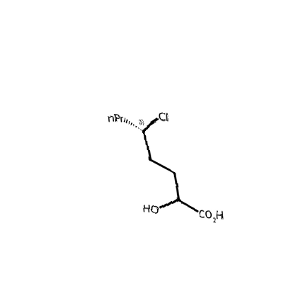 CCC[C@H](Cl)CCC(O)C(=O)O